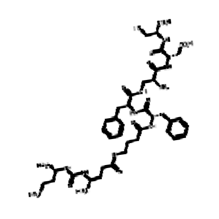 N[C@@H](CNC(=O)[C@H](Cc1ccccc1)NC(=O)[C@H](Cc1ccccc1)NC(=O)CCCNC(=O)CC[C@H](NC(=O)N[C@@H](CCC(=O)O)C(=O)O)C(=O)O)C(=O)N[C@@H](CC(=O)O)C(=O)N[C@@H](CS)C(=O)O